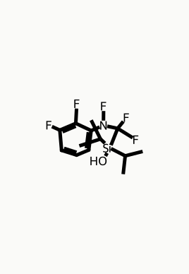 CC(C)[Si](O)(C(C)C)C(F)(F)N(F)c1cccc(F)c1F